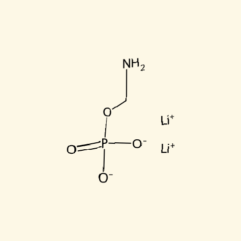 NCOP(=O)([O-])[O-].[Li+].[Li+]